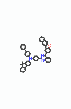 CC1(C)c2ccccc2-c2ccc(N(c3ccc(-c4ccccc4)cc3)c3ccc(-c4nc(-c5ccc6oc7cc8ccccc8cc7c6c5)c5ccccc5n4)cc3)cc21